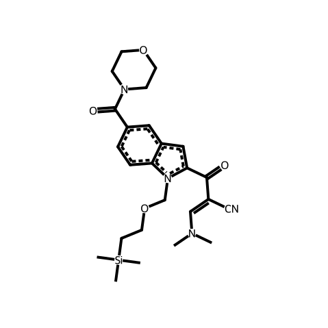 CN(C)C=C(C#N)C(=O)c1cc2cc(C(=O)N3CCOCC3)ccc2n1COCC[Si](C)(C)C